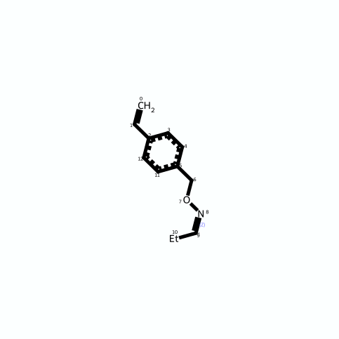 C=Cc1ccc(CO/N=[C]\CC)cc1